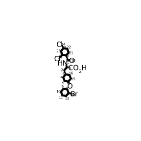 O=C(O)/C(=C\c1ccc(Oc2ccccc2Br)cc1)NC(=O)c1ccc(Cl)cc1Cl